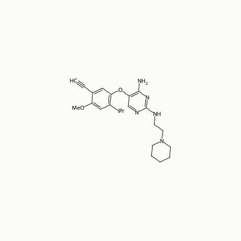 C#Cc1cc(Oc2cnc(NCCN3CCCCC3)nc2N)c(C(C)C)cc1OC